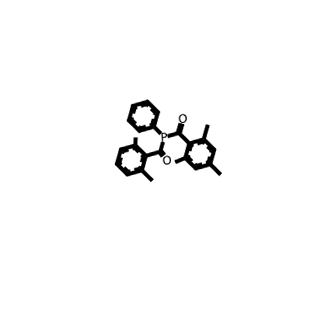 Cc1cc(C)c(C(=O)P(C(=O)c2c(C)cccc2C)c2ccccc2)c(C)c1